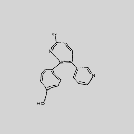 [2H]c1ccc(-c2cccnc2)c(-c2ccc(O)cc2)n1